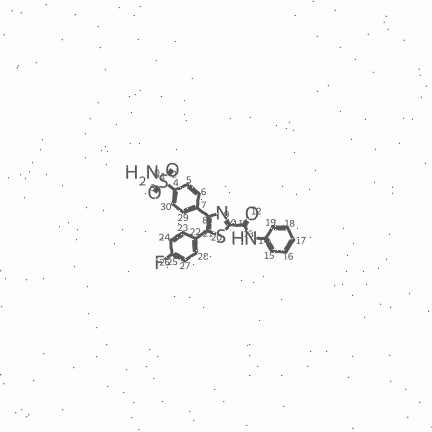 NS(=O)(=O)c1ccc(-c2nc(C(=O)Nc3ccccc3)sc2-c2ccc(F)cc2)cc1